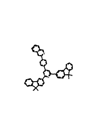 CC1(C)c2ccccc2-c2cc(-c3cc(-c4ccc(-c5cc6ccccc6cn5)cc4)cc(-c4ccc5c(c4)-c4ccccc4C5(C)C)n3)ccc21